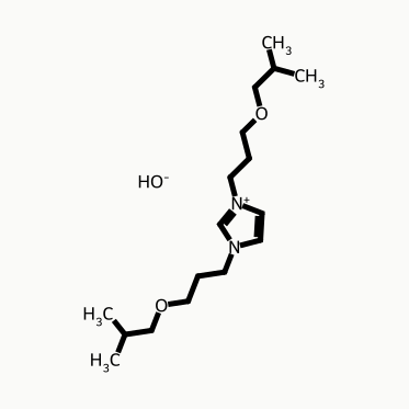 CC(C)COCCCn1cc[n+](CCCOCC(C)C)c1.[OH-]